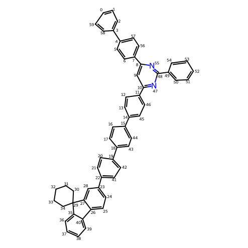 c1ccc(-c2ccc(-c3cc(-c4ccc(-c5ccc(-c6ccc(-c7ccc8c(c7)C7(CCCCC7)c7ccccc7-8)cc6)cc5)cc4)nc(-c4ccccc4)n3)cc2)cc1